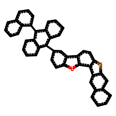 c1ccc2cc3c(cc2c1)sc1ccc2c4cc(-c5c6ccccc6c(-c6cccc7ccccc67)c6ccccc56)ccc4oc2c13